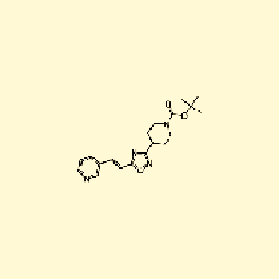 CC(C)(C)OC(=O)N1CCC(c2noc(C=Cc3cccnc3)n2)CC1